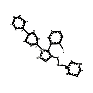 Fc1ccccc1-c1c(CNc2cccnc2)cnn1-c1ccc(-c2ccccc2)cc1